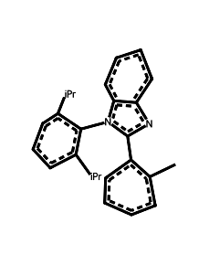 Cc1ccccc1-c1nc2ccccc2n1-c1c(C(C)C)cccc1C(C)C